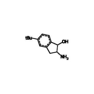 CC(C)(C)c1ccc2c(c1)CC(N)C2O